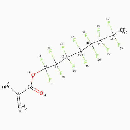 C=C(CCC)C(=O)OC(F)(F)C(F)(F)C(F)(F)C(F)(F)C(F)(F)C(F)(F)C(F)(F)C(F)(F)F